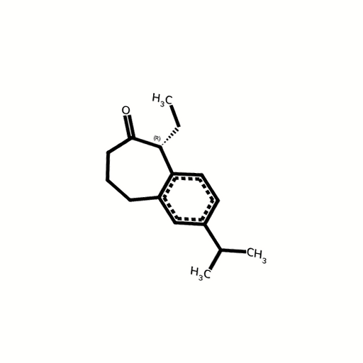 CC[C@H]1C(=O)CCCc2cc(C(C)C)ccc21